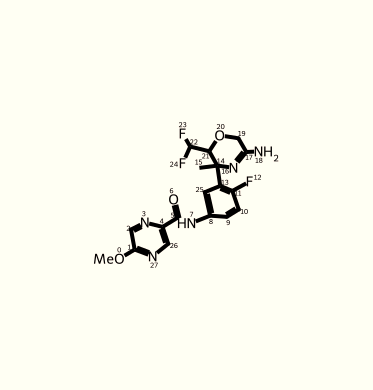 COc1cnc(C(=O)Nc2ccc(F)c(C3(C)N=C(N)COC3C(F)F)c2)cn1